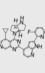 Fc1cccnc1-c1cc2c(-c3nc(N4CC[C@H]5NCC[C@H]54)c4c(C5CC5)cncc4n3)ccnc2[nH]1